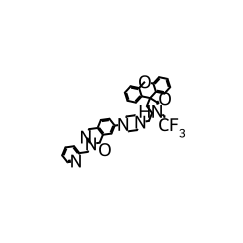 O=C(NCC(F)(F)F)C1(CCCN2CCN(c3ccc4cnn(Cc5ccccn5)c(=O)c4c3)CC2)c2ccccc2Oc2ccccc21